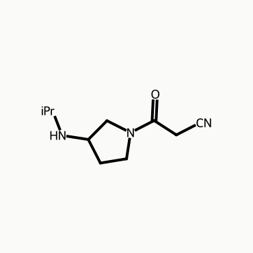 CC(C)NC1CCN(C(=O)CC#N)C1